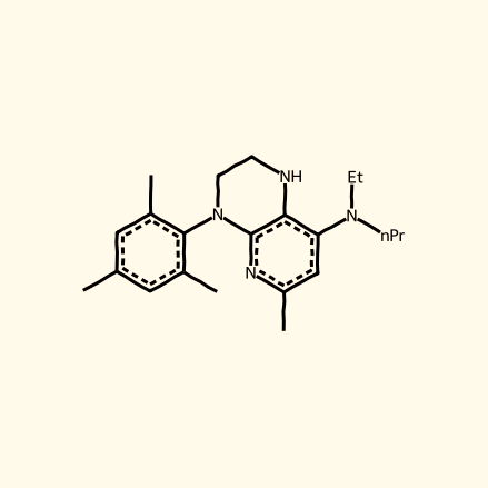 CCCN(CC)c1cc(C)nc2c1NCCN2c1c(C)cc(C)cc1C